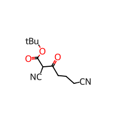 CC(C)(C)OC(=O)C(C#N)C(=O)CCCC#N